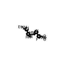 CCNCc1cncc(-c2ccc3[nH]nc(-c4cc5c(-c6cc(F)cc(CNS(C)(=O)=O)c6)cncc5[nH]4)c3c2)c1